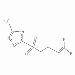 Cc1noc(S(=O)(=O)CCC=C(F)F)n1